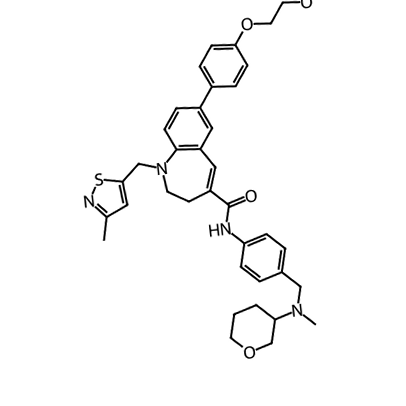 CCCCOCCOc1ccc(-c2ccc3c(c2)C=C(C(=O)Nc2ccc(CN(C)C4CCCOC4)cc2)CCN3Cc2cc(C)ns2)cc1